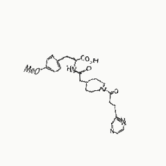 COc1ccc(CC(NC(=O)CC2CCN(C(=O)CCc3cnccn3)CC2)C(=O)O)cc1